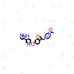 CC(=O)N1CCN(Cc2coc3cc(Oc4ccc(-c5ccn[nH]5)cn4)ccc23)CC1